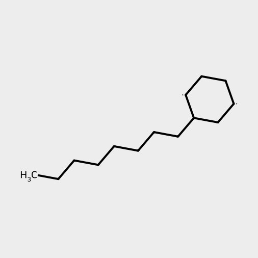 CCCCCCCCC1[CH]CC[CH]C1